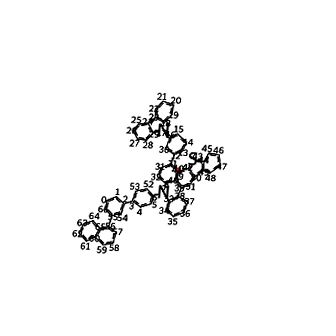 c1cc(-c2ccc(N(c3ccc(-c4cccc(-n5c6ccccc6c6ccccc65)c4)cc3)c3ccccc3-c3ccc4sc5ccccc5c4c3)cc2)cc(-c2cccc3ccccc23)c1